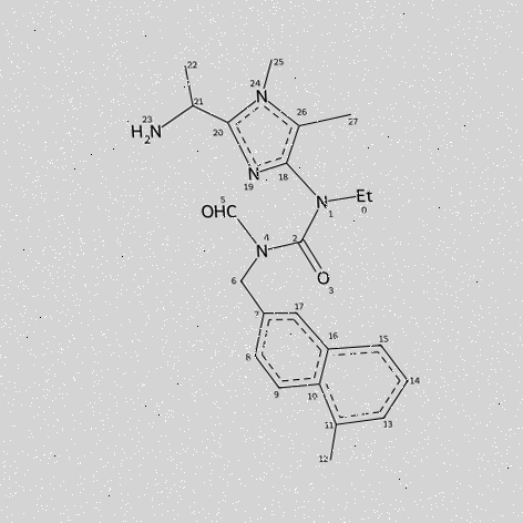 CCN(C(=O)N(C=O)Cc1ccc2c(C)cccc2c1)c1nc(C(C)N)n(C)c1C